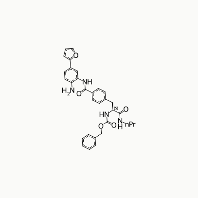 CCCNC(=O)[C@H](Cc1ccc(C(=O)Nc2cc(-c3ccco3)ccc2N)cc1)NC(=O)OCc1ccccc1